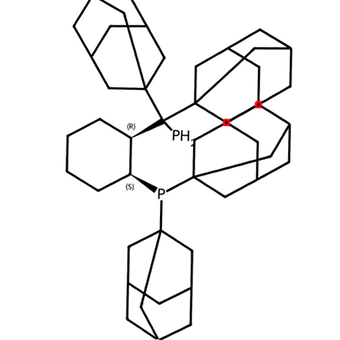 PC([C@@H]1CCCC[C@@H]1P(C12CC3CC(CC(C3)C1)C2)C12CC3CC(CC(C3)C1)C2)(C12CC3CC(CC(C3)C1)C2)C12CC3CC(CC(C3)C1)C2